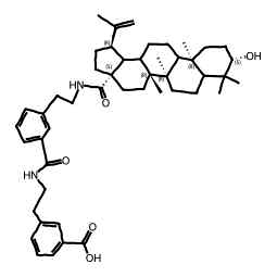 C=C(C)[C@@H]1CC[C@]2(C(=O)NCCc3cccc(C(=O)NCCc4cccc(C(=O)O)c4)c3)CC[C@]3(C)C(CCC4[C@@]5(C)CC[C@H](O)C(C)(C)C5CC[C@]43C)C12